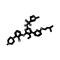 CCc1c(Oc2cccc(N3CCN(C)CC3)c2Cl)nc(NS(=O)(=O)c2cnn(C)c2)nc1-c1cccc(OCCC(C)C)n1